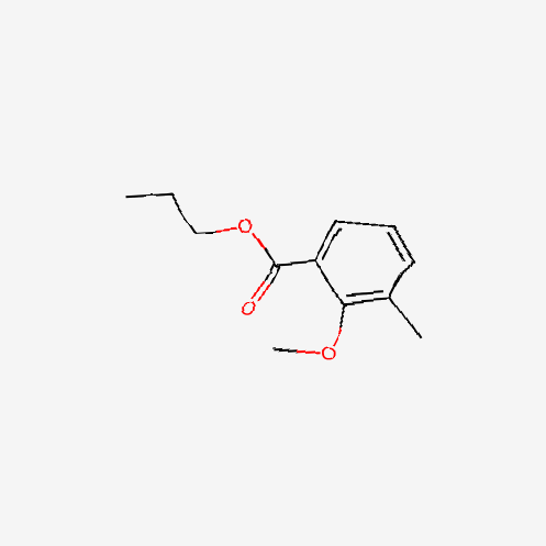 CCCOC(=O)c1cccc(C)c1OC